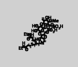 CCNC(=O)CCSCC(CO/N=C\[C@@H]1O[C@H](COS(=O)(=O)O)[C@H](O[C@@H]2OC(C(=O)O)[C@@H](O[C@@H]3OC(COS(=O)(=O)O)[C@@H](OC)[C@H](O)C3C)[C@H](O)C2O)C1O)SCCC(=O)NCC